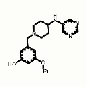 CC(C)Oc1cc(O)cc(CN2CCC(Nc3cncnc3)CC2)c1